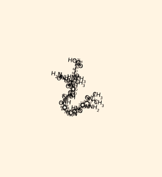 CCCN(CCC)C(=O)C1=Cc2ccc(C(=O)Nc3cnc4c(c3)CN(Cc3ccc(C(=O)NCC(F)(F)CNC(=O)OCc5ccc(NC(=O)[C@H](CCCNC(N)=O)NC(=O)[C@@H](NC(=O)CCCCCN6C(=O)C=CC6O)C(C)C)cc5)cc3)CC4)cc2N=C(N)C1